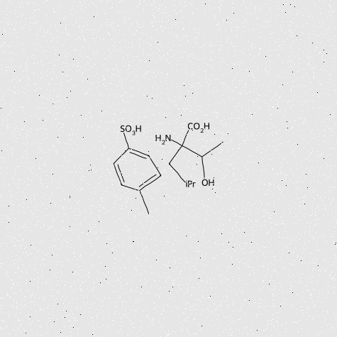 CC(C)CC(N)(C(=O)O)C(C)O.Cc1ccc(S(=O)(=O)O)cc1